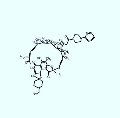 C/C1=C/C=C/[C@H](C)[C@H](O)[C@@H](C)[C@@H](O)[C@@H](C)[C@H](OC(=O)CC(=O)N2CCN(c3ccccn3)CC2)[C@H](C)[C@@H](C)/C=C/O[C@@]2(C)Oc3c(C)c(O)c4c(c3C2=O)C2=NC3(CCN(CC(C)C)CC3)NC2=C(NC1=O)C4=O